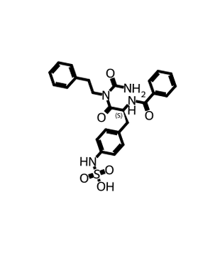 NC(=O)N(CCc1ccccc1)C(=O)[C@H](Cc1ccc(NS(=O)(=O)O)cc1)NC(=O)c1ccccc1